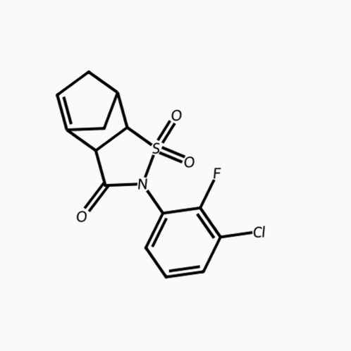 O=C1C2C3=CCC(C3)C2S(=O)(=O)N1c1cccc(Cl)c1F